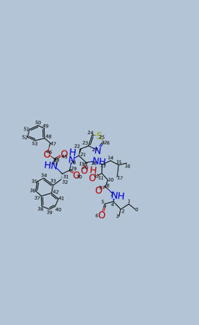 CCC(C)[C@@H](C=O)NC(=O)CC(O)C(CC(C)C)NC(=O)[C@H](Cc1cscn1)NC(=O)[C@H](Cc1cccc2ccccc12)NC(=O)OCc1ccccc1